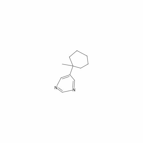 CC1(c2cncnc2)CCCCC1